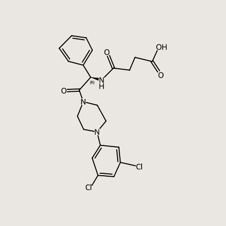 O=C(O)CCC(=O)N[C@@H](C(=O)N1CCN(c2cc(Cl)cc(Cl)c2)CC1)c1ccccc1